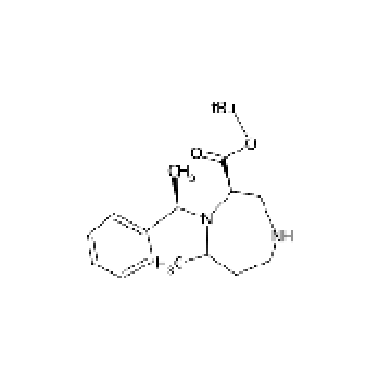 CC1CCNC[C@H](C(=O)OC(C)(C)C)N1[C@H](C)c1ccccc1